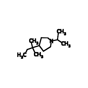 CCC(C)(C)C1CCN(C(C)C)CC1